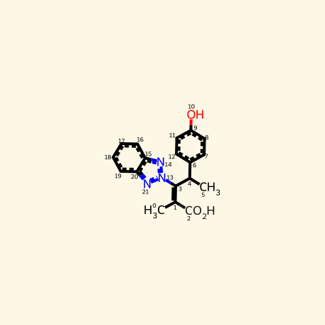 CC(C(=O)O)=C(C(C)c1ccc(O)cc1)n1nc2ccccc2n1